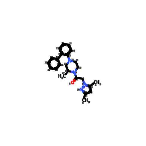 Cc1cc(C)n(CC(=O)N2CCN(c3ccccc3-c3ccccc3)C[C@@H]2C)n1